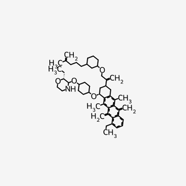 C=C(C)CCCC1CCCC(OCC(=C)C2Cc3c(c(C)c4c(=C)c5c(CC)cccc5c(=C)c4c3C)[C@@H](OC3CCC(OC4NCCO[C@@H]4CC)CC3)C2)C1